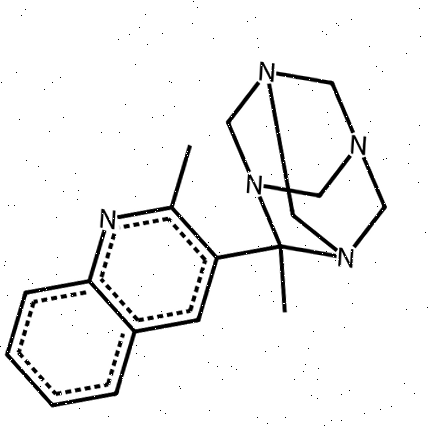 Cc1nc2ccccc2cc1C1(C)N2CN3CN(C2)CN1C3